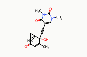 CC1=CC(=O)C2CC2(C)C1(O)C#Cc1cn(C)c(=O)n(C)c1=O